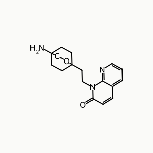 NC12CCC(CCn3c(=O)ccc4cccnc43)(CC1)OC2